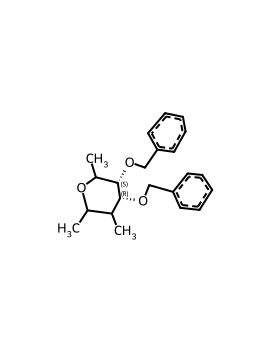 CC1OC(C)[C@H](OCc2ccccc2)[C@H](OCc2ccccc2)C1C